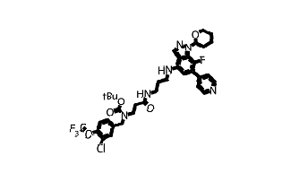 CC(C)(C)OC(=O)N(CCC(=O)NCCCNc1cc(-c2ccncc2)c(F)c2c1cnn2C1CCCCO1)Cc1ccc(OC(F)(F)F)c(Cl)c1